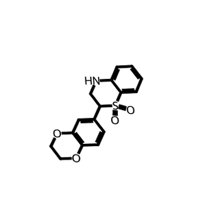 O=S1(=O)c2ccccc2NCC1c1ccc2c(c1)OCCO2